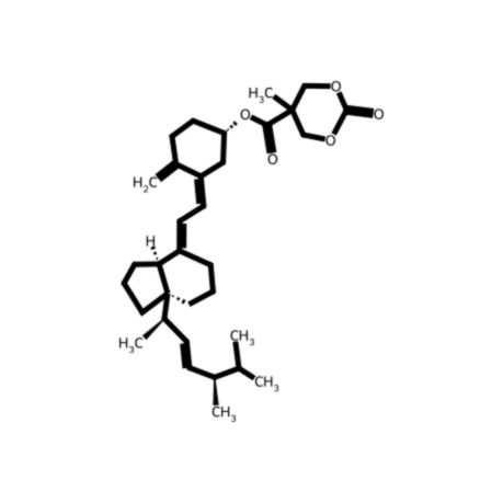 C=C1CC[C@H](OC(=O)C2(C)COC(=O)OC2)C/C1=C/C=C1\CCC[C@]2([C@H](C)/C=C/[C@H](C)C(C)C)CCC[C@@H]12